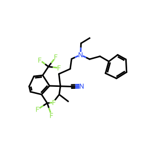 CCN(CCCC(C#N)(c1c(C(F)(F)F)cccc1C(F)(F)F)C(C)C)CCc1ccccc1